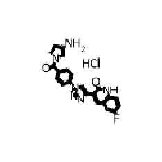 Cl.N[C@@H]1CCN(C(=O)c2ccc(-n3cc(-c4cc5cc(F)ccc5[nH]c4=O)nn3)cc2)C1